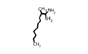 CCCCCCCCC(C)C(N)N